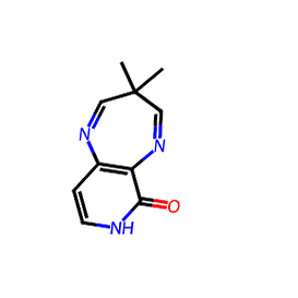 CC1(C)C=Nc2cc[nH]c(=O)c2N=C1